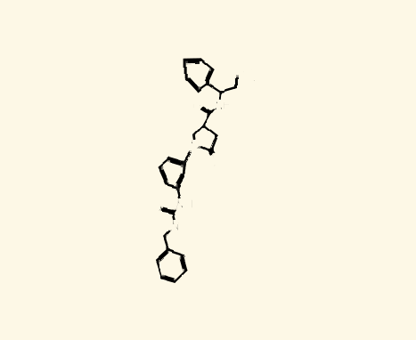 O=C(O)CC(NC(=O)C1CC(=O)N(c2cccc(NC(=O)NCc3ccccc3)c2)C1)c1ccccc1